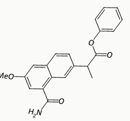 COc1cc(C(N)=O)c2cc(C(C)C(=O)Oc3ccccc3)ccc2c1